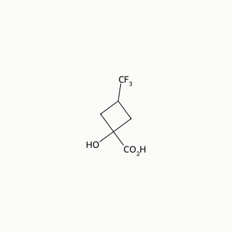 O=C(O)C1(O)CC(C(F)(F)F)C1